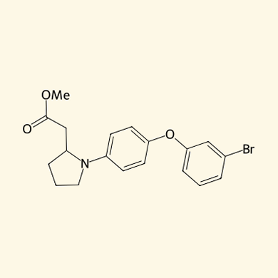 COC(=O)CC1CCCN1c1ccc(Oc2cccc(Br)c2)cc1